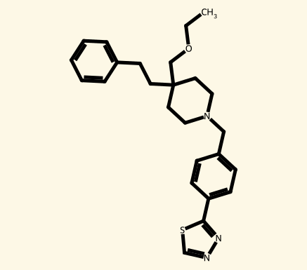 CCOCC1(CCc2ccccc2)CCN(Cc2ccc(-c3nncs3)cc2)CC1